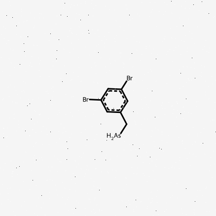 [AsH2]Cc1cc(Br)cc(Br)c1